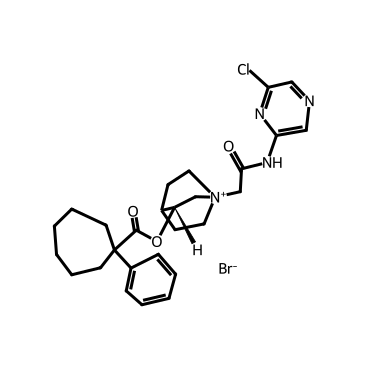 O=C(C[N+]12CCC(CC1)[C@@H](OC(=O)C1(c3ccccc3)CCCCCC1)C2)Nc1cncc(Cl)n1.[Br-]